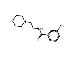 CC(C)(C)c1cccc(C(=O)NCCN2CCOCC2)c1